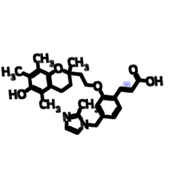 Cc1c(C)c2c(c(C)c1O)CCC(C)(CCOc1cc(Cn3ccnc3C)ccc1/C=C/C(=O)O)O2